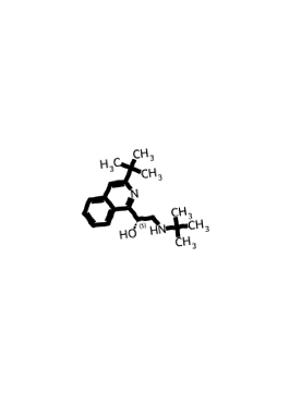 CC(C)(C)NC[C@H](O)c1nc(C(C)(C)C)cc2ccccc12